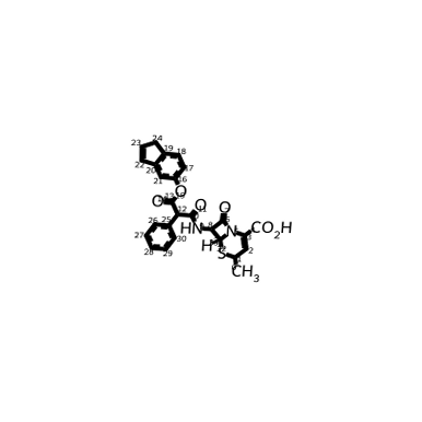 CC1C=C(C(=O)O)N2C(=O)C(NC(=O)C(C(=O)Oc3ccc4c(c3)C=CC4)c3ccccc3)[C@H]2S1